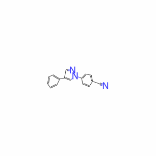 N#Cc1ccc(-n2cc(-c3ccccc3)cn2)cc1